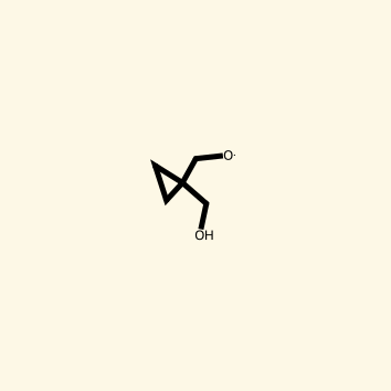 [O]CC1(CO)CC1